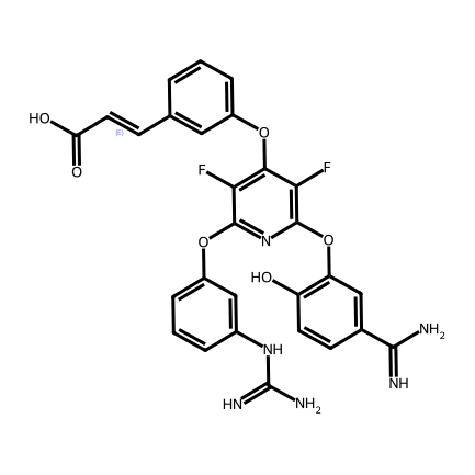 N=C(N)Nc1cccc(Oc2nc(Oc3cc(C(=N)N)ccc3O)c(F)c(Oc3cccc(/C=C/C(=O)O)c3)c2F)c1